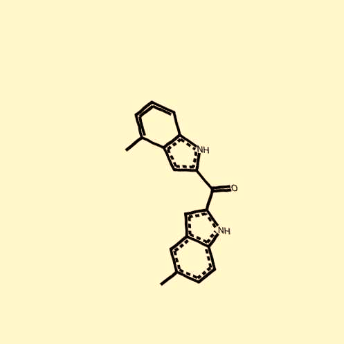 CC1=C=C=Cc2[nH]c(C(=O)c3cc4cc(C)ccc4[nH]3)cc21